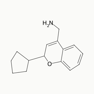 NCC1=CC(C2CCCC2)Oc2ccccc21